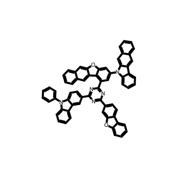 c1ccc(-n2c3ccccc3c3cc(-c4nc(-c5ccc6c(c5)oc5ccccc56)nc(-c5cc(-n6c7ccccc7c7cc8ccccc8cc76)cc6oc7cc8ccccc8cc7c56)n4)ccc32)cc1